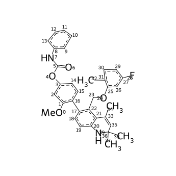 COc1cc(OC(=O)Nc2ccccc2)ccc1-c1ccc2c(c1COc1cc(F)ccc1C)C(C)=CC(C)(C)N2